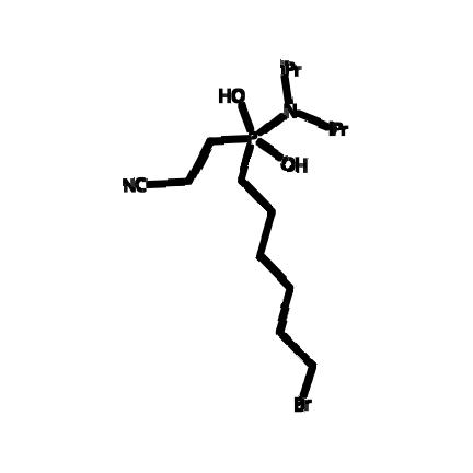 CC(C)N(C(C)C)P(O)(O)(CCC#N)CCCCCCBr